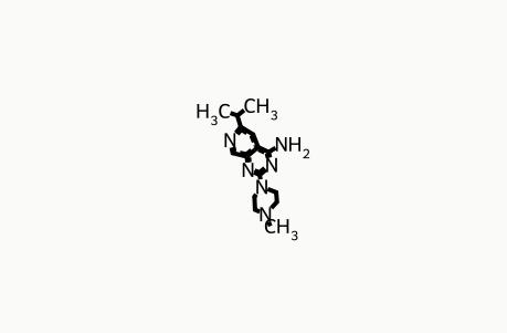 CC(C)c1cc2c(N)nc(N3CCN(C)CC3)nc2cn1